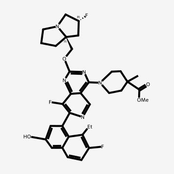 CCc1c(F)ccc2cc(O)cc(-c3ncc4c(N5CCC(C)(C(=O)OC)CC5)nc(OC[C@@]56CCCN5C[C@H](F)C6)nc4c3F)c12